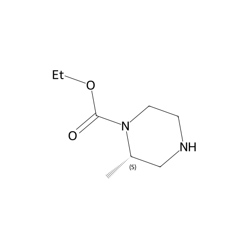 CCOC(=O)N1CCNC[C@@H]1C